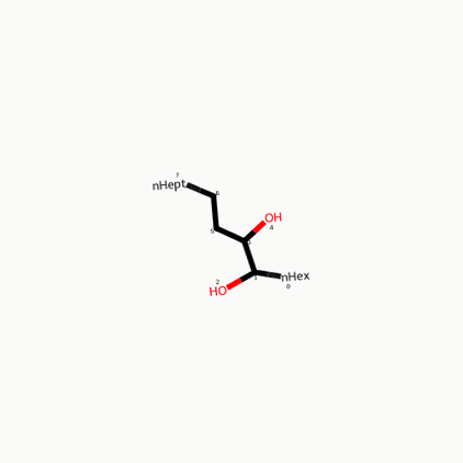 [CH2]CCCCCC(O)C(O)CCCCCCCCC